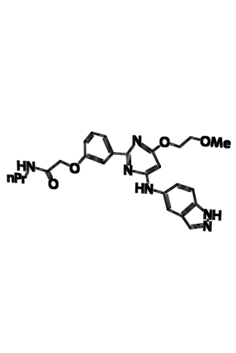 CCCNC(=O)COc1cccc(-c2nc(Nc3ccc4[nH]ncc4c3)cc(OCCOC)n2)c1